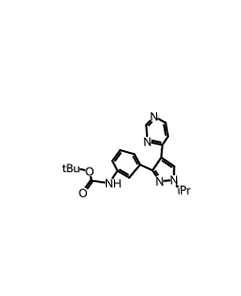 CC(C)n1cc(-c2ccncn2)c(-c2cccc(NC(=O)OC(C)(C)C)c2)n1